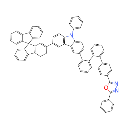 C1=C(c2ccc3c(c2)c2cc(-c4ccccc4-c4ccccc4-c4ccc(-c5nnc(-c6ccccc6)o5)cc4)ccc2n3-c2ccccc2)CCC2=C1C1(c3ccccc32)c2ccccc2-c2ccccc21